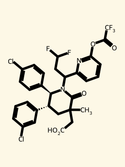 CC1(CC(=O)O)C[C@H](c2cccc(Cl)c2)[C@@H](c2ccc(Cl)cc2)N(C(CC(F)F)c2cccc(OC(=O)C(F)(F)F)n2)C1=O